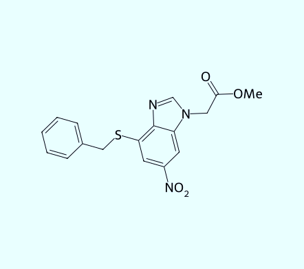 COC(=O)Cn1cnc2c(SCc3ccccc3)cc([N+](=O)[O-])cc21